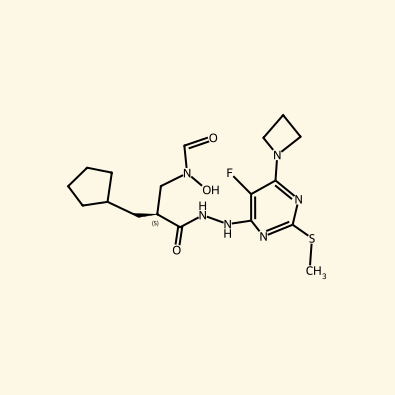 CSc1nc(NNC(=O)[C@@H](CC2CCCC2)CN(O)C=O)c(F)c(N2CCC2)n1